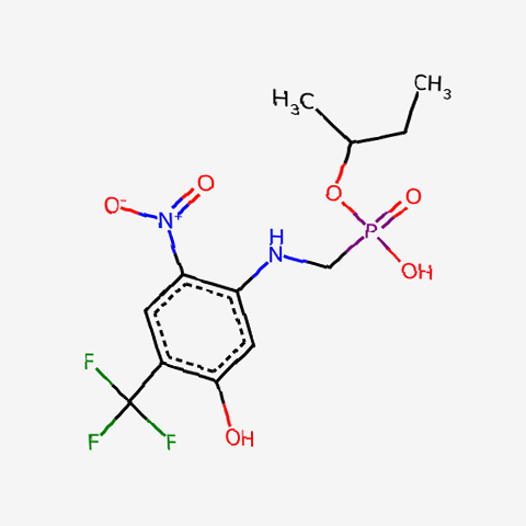 CCC(C)OP(=O)(O)CNc1cc(O)c(C(F)(F)F)cc1[N+](=O)[O-]